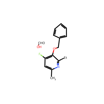 CCc1nc(C)cc(F)c1OCc1ccccc1.O=CO